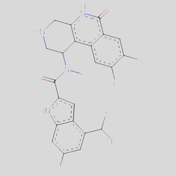 CN(C(=O)c1cc2c(C(F)F)cc(F)cc2[nH]1)C1CNCc2[nH]c(=O)c3cc(F)c(F)cc3c21